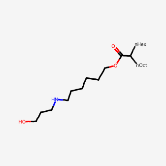 CCCCCCCCC(CCCCCC)C(=O)OCCCCCCNCCCO